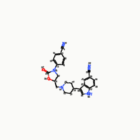 N#Cc1ccc(N2C[C@@H](CN3CCC(c4c[nH]c5ccc(C#N)cc45)CC3)OC2=O)cc1